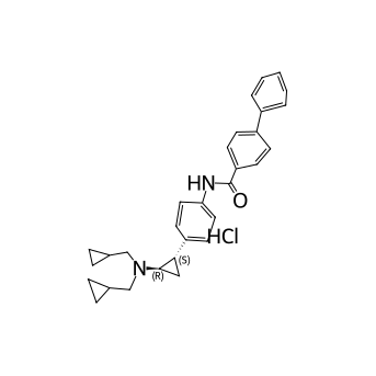 Cl.O=C(Nc1ccc([C@@H]2C[C@H]2N(CC2CC2)CC2CC2)cc1)c1ccc(-c2ccccc2)cc1